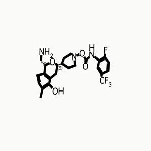 Cc1ccc2c(c1O)C[C@@H](C1CCN(OC(=O)Nc3cc(C(F)(F)F)ccc3F)CC1)O[C@H]2CN